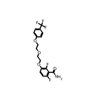 NC(=O)c1c(F)ccc(OCCOCCOc2ccc(C(F)(F)F)cc2)c1F